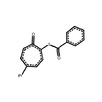 CC(C)c1ccc(SC(=O)c2ccccc2)c(=O)cc1